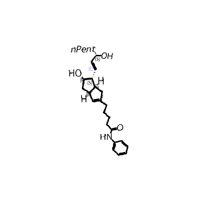 CCCCC[C@H](O)/C=C/[C@@H]1[C@H]2CC(CCCCC(=O)Nc3ccccc3)=C[C@H]2C[C@H]1O